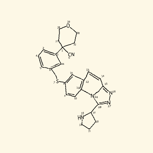 N#CC1(c2cccc(Sc3ccc4c(ccc5nnc(C6CCCN6)n54)c3)c2)CCOCC1